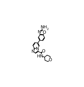 Nc1nc2cc(-c3ccc4ncc(C(=O)NC5CCOCC5)n4c3)ccc2o1